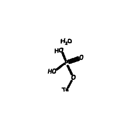 O.O=P(O)(O)[O][Ta]